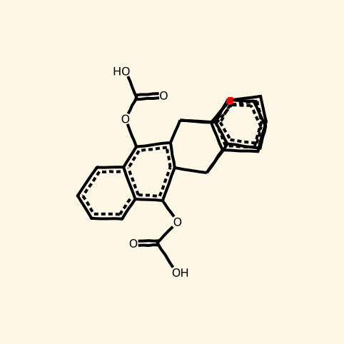 O=C(O)Oc1c2c(c(OC(=O)O)c3ccccc13)C1c3ccccc3C2c2ccccc21